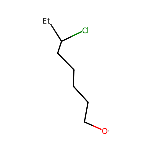 CCC(Cl)CCCCC[O]